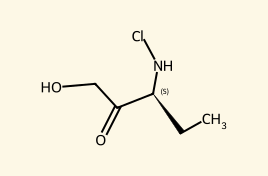 CC[C@H](NCl)C(=O)CO